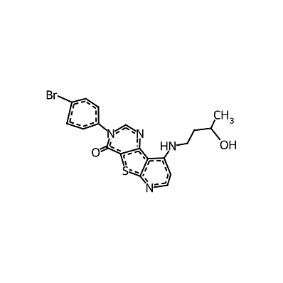 CC(O)CCNc1ccnc2sc3c(=O)n(-c4ccc(Br)cc4)cnc3c12